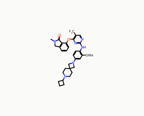 COc1cc(N2CC3(CCN(C4CCC4)CC3)C2)ccc1Nc1ncc(C(F)(F)F)c(Oc2cccc3c2C(=O)N(C)C3)n1